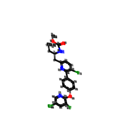 CC(C)(C)OC(=O)NC(CC(=O)O)Cc1ccc(F)c(-c2ccc(Oc3ncc(Cl)cc3F)cc2)n1